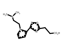 CN(C)CCn1cccc1-c1noc(CCC(=O)O)n1